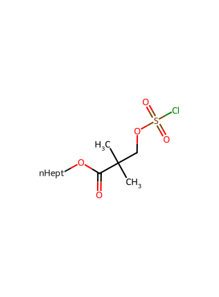 CCCCCCCOC(=O)C(C)(C)COS(=O)(=O)Cl